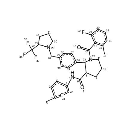 Cc1ccc(NC(=O)C2CCCN(C(=O)c3c(C)cccc3F)C2c2ccc(CN3CCCC3C(F)(F)F)cc2)cc1